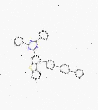 c1ccc(-c2ccc(-c3ccc(-c4cc(-c5nc(-c6ccccc6)nc(-c6ccccc6)n5)cc5sc6ccccc6c45)cc3)cc2)cc1